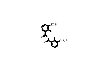 Cc1c(C(=O)OC(=O)c2cccc(S(=O)(=O)O)c2C)cccc1S(=O)(=O)O